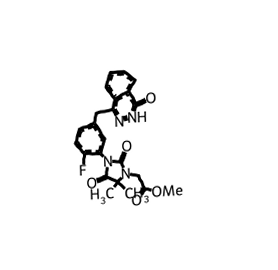 COC(=O)CN1C(=O)N(c2cc(Cc3n[nH]c(=O)c4ccccc34)ccc2F)C(=O)C1(C)C